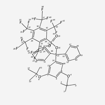 CC(C)(C)Oc1cc(OC(C)(C)C)cc(S(OS(=O)(=O)c2c(C(F)(F)F)c(C(F)(F)F)c(C(F)(F)F)c(C(F)(F)F)c2C(F)(F)F)(c2ccccc2)c2ccccc2)c1